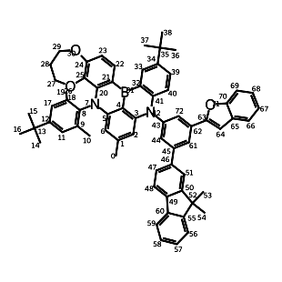 Cc1cc2c3c(c1)N(c1c(C)cc(C(C)(C)C)cc1C)c1c(ccc4c1OCCCO4)B3c1cc(C(C)(C)C)ccc1N2c1cc(-c2ccc3c(c2)C(C)(C)c2ccccc2-3)cc(-c2cc3ccccc3o2)c1